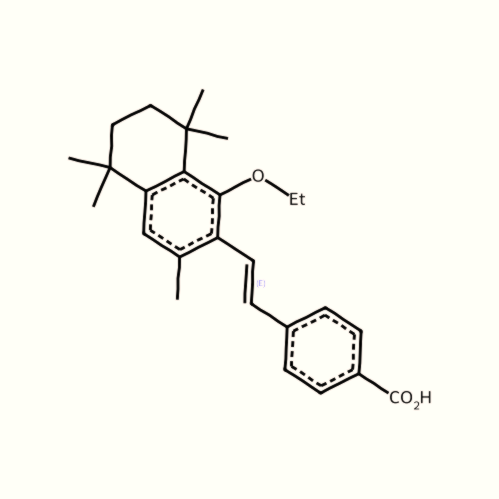 CCOc1c(/C=C/c2ccc(C(=O)O)cc2)c(C)cc2c1C(C)(C)CCC2(C)C